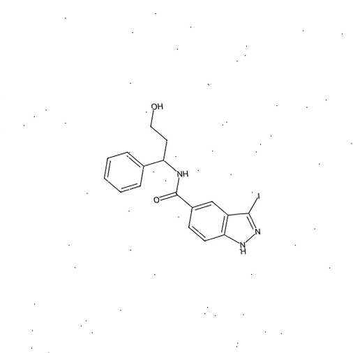 O=C(NC(CCO)c1ccccc1)c1ccc2[nH]nc(I)c2c1